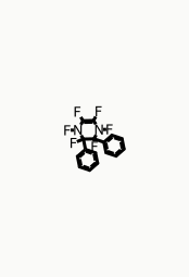 FC1=C(F)N(F)C(F)(c2ccccc2)C(F)(c2ccccc2)N1F